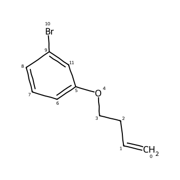 C=CCCOc1cccc(Br)c1